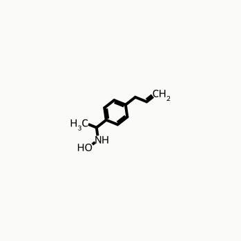 C=CCc1ccc(C(C)NO)cc1